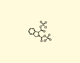 O=C(OS(=O)(=O)Cl)C1c2ccccc2CN1C(=O)OS(=O)(=O)Cl